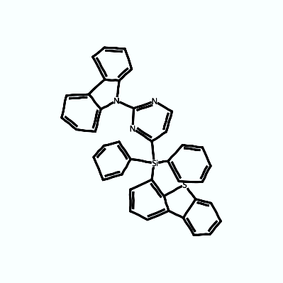 c1ccc([Si](c2ccccc2)(c2ccnc(-n3c4ccccc4c4ccccc43)n2)c2cccc3c2sc2ccccc23)cc1